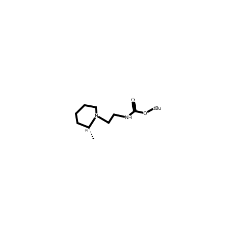 C[C@@H]1CCCCN1CCNC(=O)OC(C)(C)C